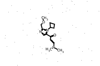 COCc1ncc(C(=O)/C=C/N(C)C)n1C1CCC1